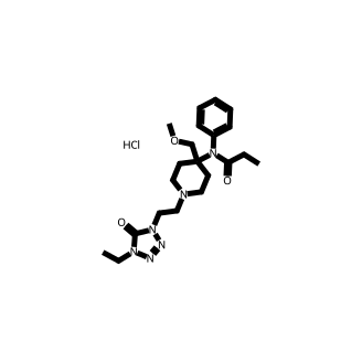 CCC(=O)N(c1ccccc1)C1(COC)CCN(CCn2nnn(CC)c2=O)CC1.Cl